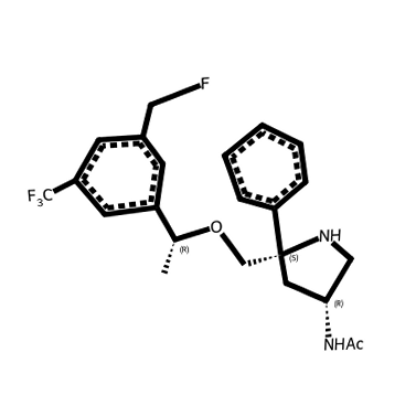 CC(=O)N[C@H]1CN[C@](CO[C@H](C)c2cc(CF)cc(C(F)(F)F)c2)(c2ccccc2)C1